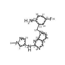 Cn1cc(Nc2ncc3cnn(Cc4cc(F)ccc4N)c3n2)cn1